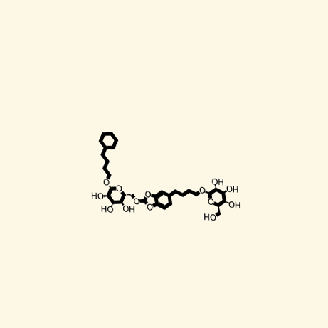 OC[C@H]1O[C@@H](OCCCCC2C=C3OC(OC[C@H]4O[C@@H](OCCCCC5CCCCC5)[C@H](O)[C@@H](O)[C@@H]4O)OC3=CC2)[C@H](O)[C@@H](O)[C@@H]1O